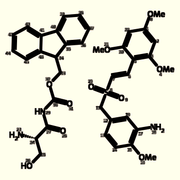 COc1cc(OC)c(C=CS(=O)(=O)Cc2ccc(OC)c(N)c2)c(OC)c1.N[C@@H](CO)C(=O)NC(=O)OCC1c2ccccc2-c2ccccc21